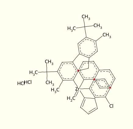 Cl.Cl.[CH2]=[Zr]([C]1=CC=CC1)([c]1cccc(Cl)c1)([c]1c(C)c(C(C)(C)C)cc2c1Cc1cc(C)c(C(C)(C)C)cc1-2)[c]1cccc2ccccc12